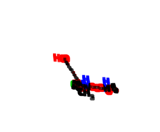 Cc1ccc(C(OC(=O)[C@H](CCC(=O)NCCCOCCOCCOCCCNC(=O)OCC2c3ccccc3-c3ccccc32)NC(=O)CCCCCCCCCCCCCCCCC(=O)O)(c2ccccc2)c2ccccc2Cl)cc1